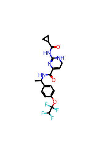 CC(NC(=O)C1=CCNC(NC(=O)C2CC2)=N1)c1ccc(OC(F)(F)C(F)F)cc1